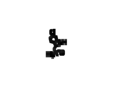 CNC(C)(C=O)Cc1c[nH]c2cc(Cl)ccc12